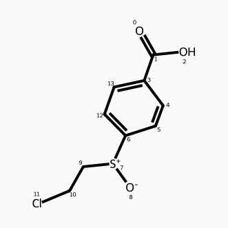 O=C(O)c1ccc([S+]([O-])CCCl)cc1